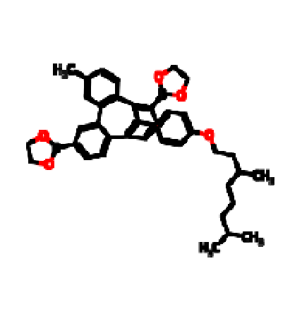 Cc1ccc2c(c1)-c1cc(B3OCCO3)ccc1-c1ccc(B3OCCO3)c-2c1-c1ccc(OCCC(C)CCCC(C)C)cc1